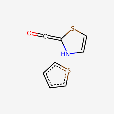 O=C=C1NC=CS1.c1ccsc1